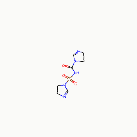 O=C(NS(=O)(=O)N1C=NCC1)N1C=NCC1